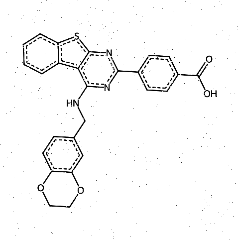 O=C(O)c1ccc(-c2nc(NCc3ccc4c(c3)OCCO4)c3c(n2)sc2ccccc23)cc1